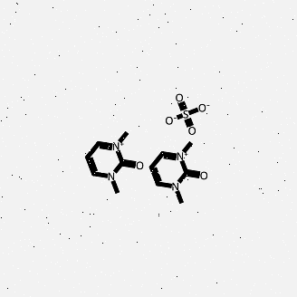 Cn1ccc[n+](C)c1=O.Cn1ccc[n+](C)c1=O.O=S(=O)([O-])[O-]